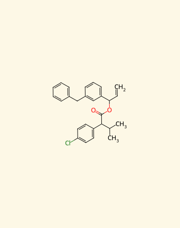 C=CC(OC(=O)C(c1ccc(Cl)cc1)C(C)C)c1cccc(Cc2ccccc2)c1